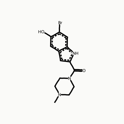 CN1CCN(C(=O)c2cc3cc(O)c(Br)cc3[nH]2)CC1